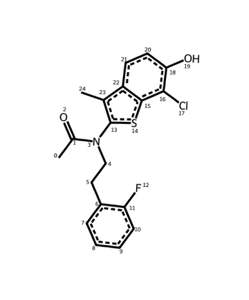 CC(=O)N(CCc1ccccc1F)c1sc2c(Cl)c(O)ccc2c1C